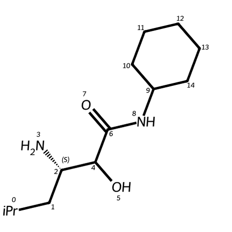 CC(C)C[C@H](N)C(O)C(=O)NC1CCCCC1